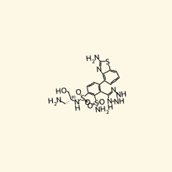 NC[C@H](CO)NS(=O)(=O)c1ccc(-c2cccc3sc(N)nc23)c(C2=NNNN2)c1S(N)(=O)=O